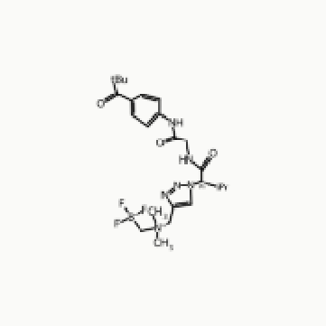 CC(C)[C@H](C(=O)NCC(=O)Nc1ccc(C(=O)C(C)(C)C)cc1)n1cc(C[N+](C)(C)C[B-](F)(F)F)nn1